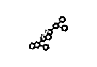 c1ccc(-c2ccc(-c3cnc4c(ccc5cc(-c6cc7ccccc7cc6-c6ccccc6)cnc54)c3)cc2-c2ccccc2)cc1